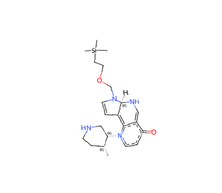 C[C@@H]1CCNC[C@@H]1n1ccc(=O)c2c1=C1C=CN(COCC[Si](C)(C)C)[C@H]1NC=2